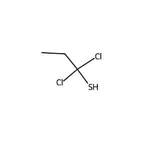 CCC(S)(Cl)Cl